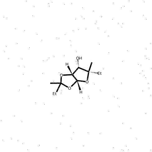 CCC1(C)O[C@H]2O[C@@](C)(CC)[C@@H](O)[C@H]2O1